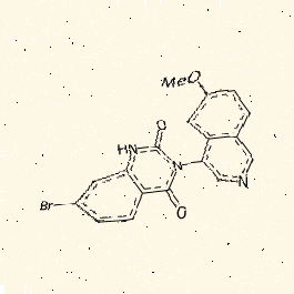 COc1ccc2cncc(-n3c(=O)[nH]c4cc(Br)ccc4c3=O)c2c1